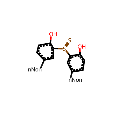 CCCCCCCCCc1ccc(O)c(S(=S)c2cc(CCCCCCCCC)ccc2O)c1